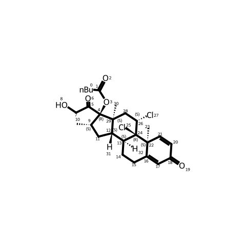 CCCCC(=O)O[C@]1(C(=O)CO)[C@@H](C)C[C@H]2[C@@H]3CCC4=CC(=O)C=C[C@]4(C)[C@@]3(Cl)[C@@H](Cl)C[C@@]21C